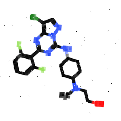 CN(CCO)[C@H]1CC[C@H](Nc2nc(-c3c(F)cccc3F)nc3c(Cl)cnn23)CC1